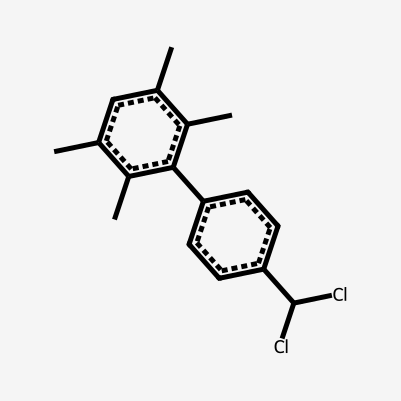 Cc1cc(C)c(C)c(-c2ccc(C(Cl)Cl)cc2)c1C